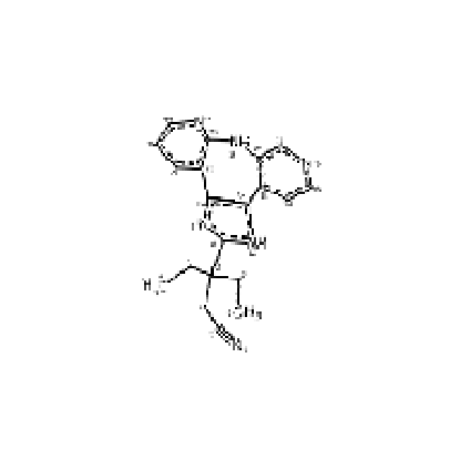 CCC(CC)(CC#N)c1nc2c([nH]1)-c1ccncc1Nc1ncccc1-2